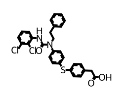 O=C(O)Cc1ccc(Sc2ccc(N(CCc3ccccc3)C(=O)Nc3cccc(Cl)c3Cl)cc2)cc1